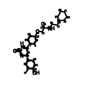 Cc1cc(-c2cc(-c3ccc(OCC(=O)NCCN4CCCCC4)cc3)[nH]c(=O)n2)ccc1O